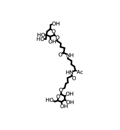 CC(=O)C(CCCCNC(=O)CCCCOC1OC(CO)CC(O)(CO)C1O)NC(=O)CCCCOC1OC(CO)C(O)C(O)C1O